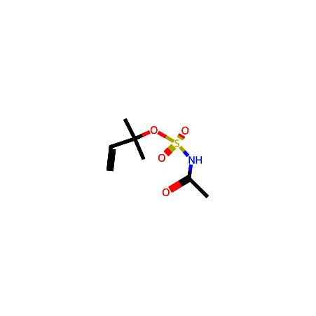 C=CC(C)(C)OS(=O)(=O)NC(C)=O